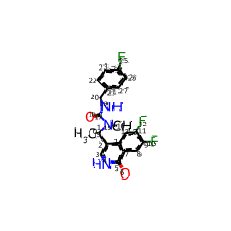 C[C@@H](c1c[nH]c(=O)c2cc(F)c(F)cc12)N(C)C(=O)NCc1ccc(F)cc1